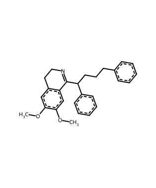 COc1cc2c(cc1OC)C(C(CCCc1ccccc1)c1ccccc1)=NCC2